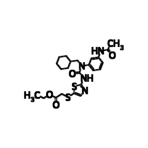 CCOC(=O)CSc1cnc(NC(=O)N(CC2CCCCC2)c2cccc(NC(C)=O)c2)s1